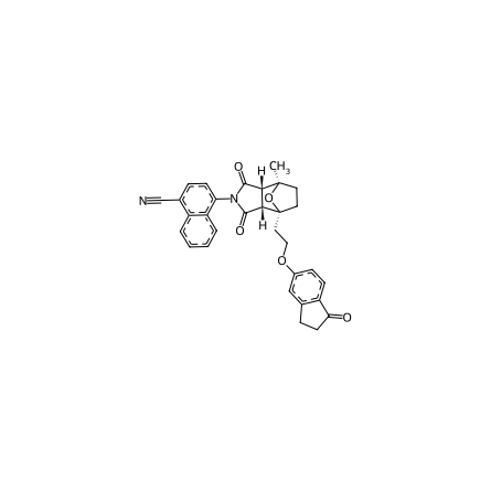 C[C@]12CC[C@](CCOc3ccc4c(c3)CCC4=O)(O1)[C@@H]1C(=O)N(c3ccc(C#N)c4ccccc34)C(=O)[C@@H]12